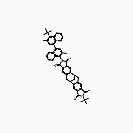 Cc1cc(-c2cc(C)c(C(C)(C)C)c3ccccc23)c2ccccc2c1N1C(=O)c2cc3c(cc2C1=O)C1Cc2cc4c(cc2C(C3)C1)C(=O)N(C(C)(C)C)C4=O